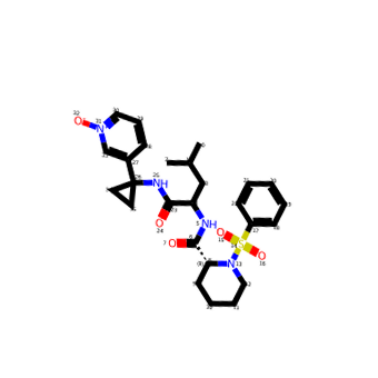 CC(C)CC(NC(=O)[C@H]1CCCCN1S(=O)(=O)c1ccccc1)C(=O)NC1(c2ccc[n+]([O-])c2)CC1